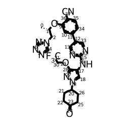 C[C@@H](Cn1cnnn1)Oc1cc(-c2cnc(Nc3cn(C4CCC(=O)CC4)nc3OCC(F)(F)F)nc2)ccc1C#N